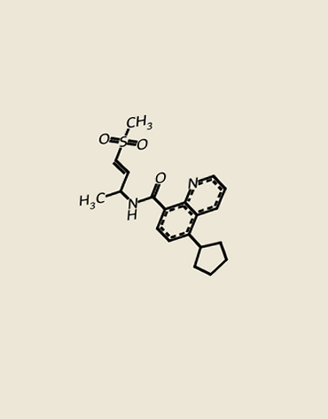 CC(/C=C/S(C)(=O)=O)NC(=O)c1ccc(C2CCCC2)c2cccnc12